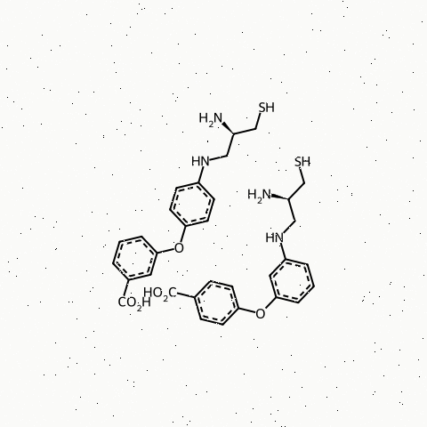 N[C@@H](CS)CNc1ccc(Oc2cccc(C(=O)O)c2)cc1.N[C@@H](CS)CNc1cccc(Oc2ccc(C(=O)O)cc2)c1